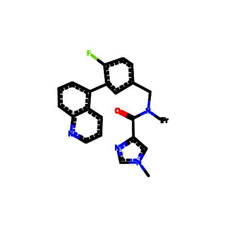 CC(C)N(Cc1ccc(F)c(-c2cccc3ncccc23)c1)C(=O)c1cn(C)cn1